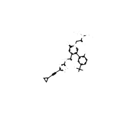 CN(C)C(=O)Cn1cc(-c2cc(C(F)(F)F)ccc2Cl)c(C(=O)Nc2nnc(C#CC3CC3)s2)cc1=O